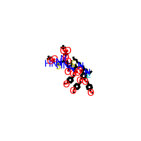 CCCCCN(CC1=C(C(=O)OCc2ccc(OC)cc2)N2C(=O)[C@@H](NC(=O)/C(=N\OC(C)(C)C(=O)OC(C)(C)C)c3csc(NC(=O)OC(C)(C)C)n3)[C@H]2SC1)Cc1cn(CC)c2c(F)c(OCc3ccc(OC)cc3)c(OCc3ccc(OC)cc3)cc2c1=O